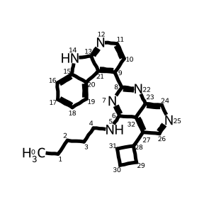 CCCCCNc1nc(-c2ccnc3[nH]c4ccccc4c23)nc2cncc(C3CCC3)c12